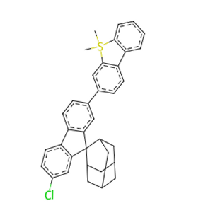 CS1(C)c2ccccc2-c2ccc(-c3ccc4c(c3)C3(c5cc(Cl)ccc5-4)C4CC5CC(C4)CC3C5)cc21